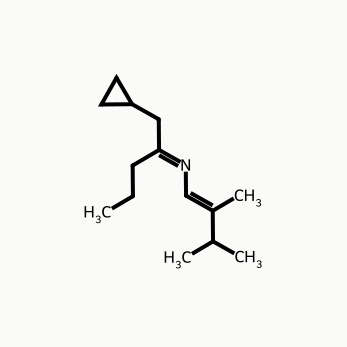 CCC/C(CC1CC1)=N\C=C(/C)C(C)C